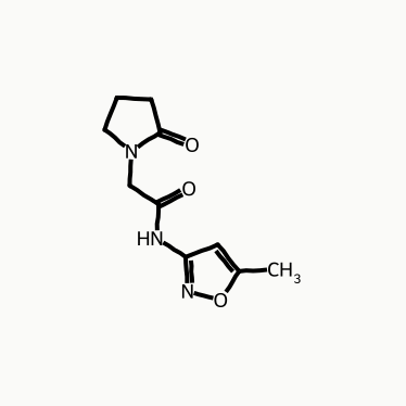 Cc1cc(NC(=O)CN2CCCC2=O)no1